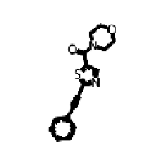 O=C(c1cnc(C#Cc2ccccc2)s1)N1CCOCC1